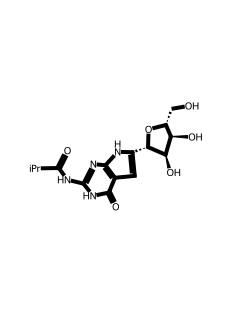 CC(C)C(=O)Nc1nc2[nH]c([C@@H]3O[C@H](CO)[C@@H](O)[C@H]3O)cc2c(=O)[nH]1